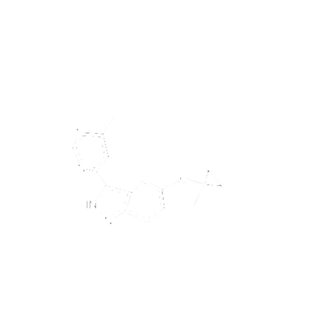 Cc1cc(-c2[nH]nc3ccc(OC4(C)CC4)cc23)ncn1